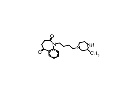 CC1CN(CCCCN2C(=O)CCC(=O)c3ccccc32)CCN1